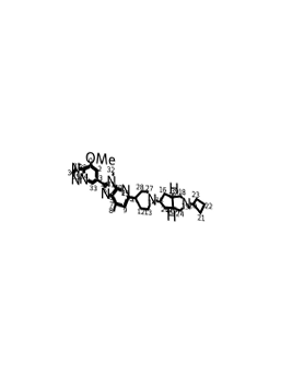 COc1cc(-c2nc3c(C)cc(C4CCN([C@H]5C[C@@H]6CN(C7CCC7)C[C@@H]6C5)CC4)nc3n2C)cn2ncnc12